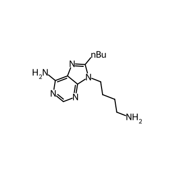 CCCCc1nc2c(N)ncnc2n1CCCCN